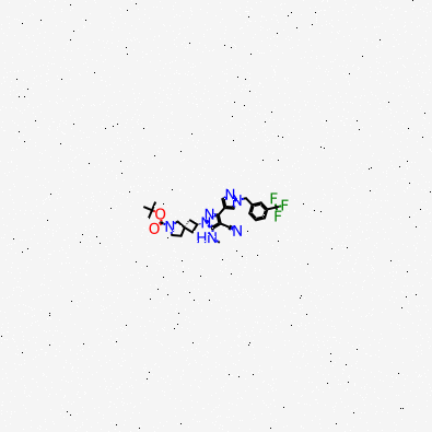 CNc1c(C#N)c(-c2cnn(Cc3cccc(C(F)(F)F)c3)c2)nn1[C@H]1C[C@@]2(CCN(C(=O)OC(C)(C)C)C2)C1